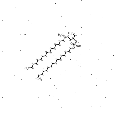 CCCCCCCCCCCCCCCCOP(=O)(O)OC(CC)CCN(C)CCCCCCCCCCCCCCCC